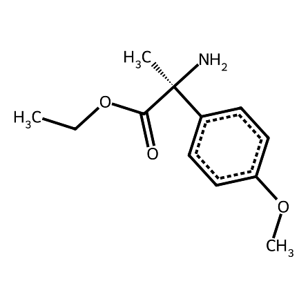 CCOC(=O)[C@@](C)(N)c1ccc(OC)cc1